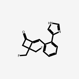 O=C1CC(CF)(CF)C1=Cc1ccccc1-c1c[nH]cn1